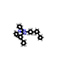 c1ccc(-c2cccc(-c3ccc(-c4nc(-c5cccc(-c6ccccc6)c5)c5c(n4)c4ccccc4n5-c4ccccc4)cc3)c2)cc1